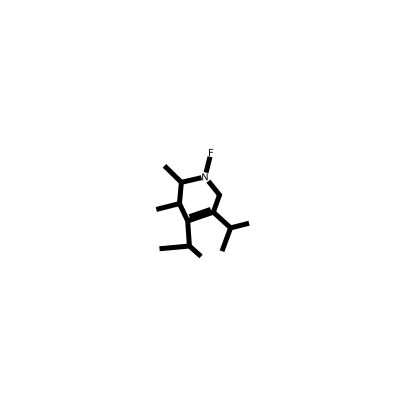 CC(C)C1=C(C(C)C)C(C)C(C)N(F)C1